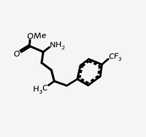 COC(=O)C(N)CCC(C)Cc1ccc(C(F)(F)F)cc1